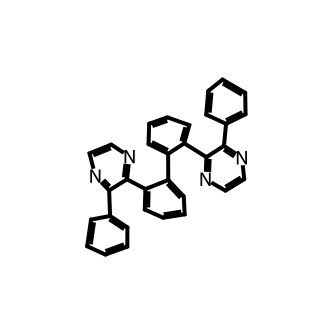 c1ccc(-c2nccnc2-c2ccccc2-c2ccccc2-c2nccnc2-c2ccccc2)cc1